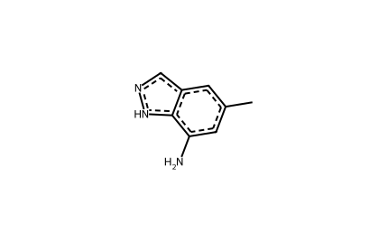 Cc1cc(N)c2[nH]ncc2c1